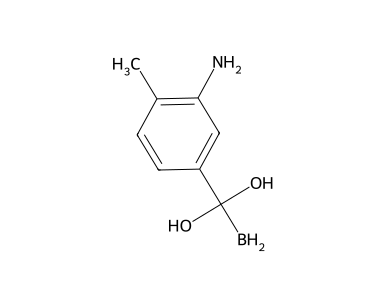 BC(O)(O)c1ccc(C)c(N)c1